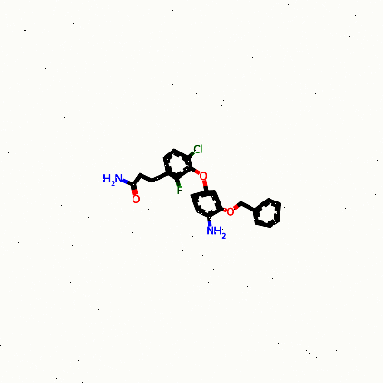 NC(=O)C[CH]c1ccc(Cl)c(Oc2ccc(N)c(OCc3ccccc3)c2)c1F